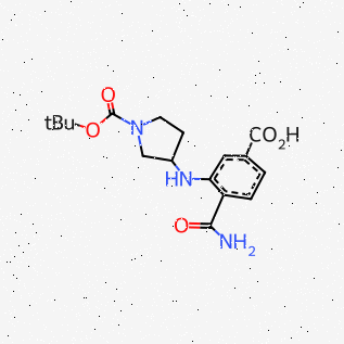 CC(C)(C)OC(=O)N1CCC(Nc2cc(C(=O)O)ccc2C(N)=O)C1